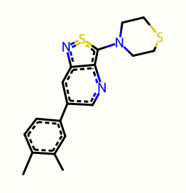 Cc1ccc(-c2cnc3c(N4CCSCC4)snc3c2)cc1C